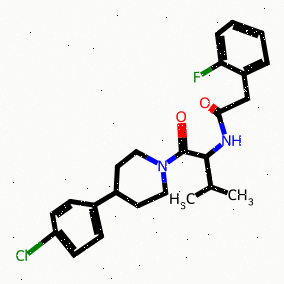 CC(C)C(NC(=O)Cc1ccccc1F)C(=O)N1CCC(c2ccc(Cl)cc2)CC1